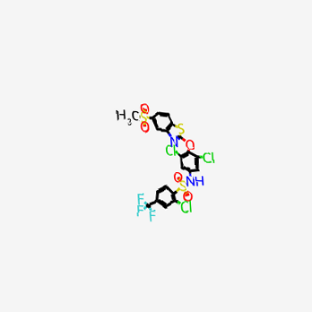 CS(=O)(=O)c1ccc2sc(Oc3c(Cl)cc(NS(=O)(=O)c4ccc(C(F)(F)F)cc4Cl)cc3Cl)nc2c1